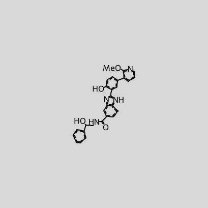 COc1ncccc1-c1ccc(O)c(-c2nc3cc(C(=O)NCC(O)c4ccccc4)ccc3[nH]2)c1